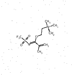 C=C(C)C(=NS(=O)(=O)C(F)(F)F)OCC[N+](C)(C)C